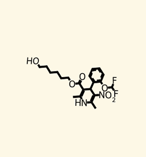 CC1=C(C(=O)OCCCCCCO)C(c2ccccc2OC(F)F)C([N+](=O)[O-])=C(C)N1